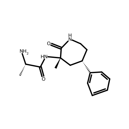 C[C@H](N)C(=O)N[C@@]1(C)C[C@@H](c2ccccc2)CCNC1=O